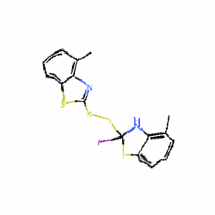 Cc1cccc2c1NC(I)(SSc1nc3c(C)cccc3s1)S2